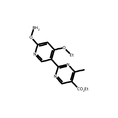 BOc1cc(OCC)c(-c2ncc(C(=O)OCC)c(C)n2)cn1